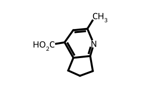 Cc1cc(C(=O)O)c2c(n1)CCC2